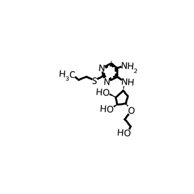 CCCSc1n[c]c(N)c(N[C@@H]2C[C@H](OCCO)[C@@H](O)[C@H]2O)n1